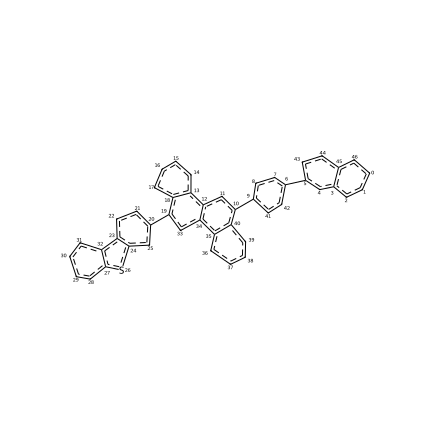 c1ccc2cc(-c3ccc(-c4cc5c6ccccc6c(-c6ccc7c(c6)sc6ccccc67)cc5c5ccccc45)cc3)ccc2c1